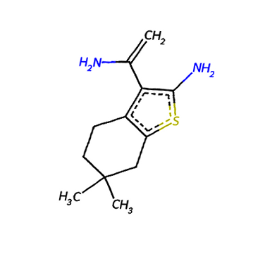 C=C(N)c1c(N)sc2c1CCC(C)(C)C2